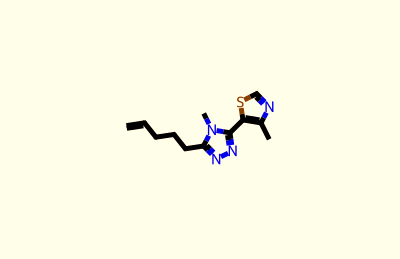 C=CCCCc1nnc(-c2scnc2C)n1C